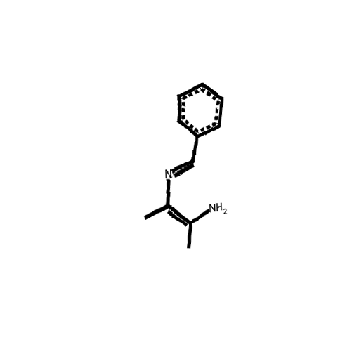 CC(N)=C(C)N=Cc1ccccc1